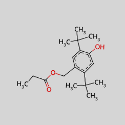 CCC(=O)OCc1cc(C(C)(C)C)c(O)cc1C(C)(C)C